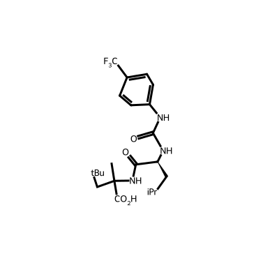 CC(C)C[C@H](NC(=O)Nc1ccc(C(F)(F)F)cc1)C(=O)NC(C)(CC(C)(C)C)C(=O)O